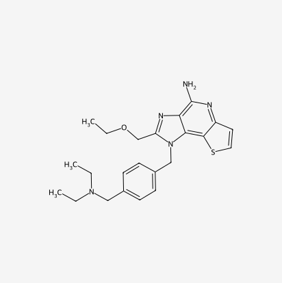 CCOCc1nc2c(N)nc3ccsc3c2n1Cc1ccc(CN(CC)CC)cc1